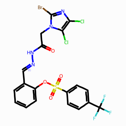 O=C(Cn1c(Br)nc(Cl)c1Cl)N/N=C/c1ccccc1OS(=O)(=O)c1ccc(C(F)(F)F)cc1